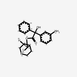 Nc1cccc(C(O)(C(=O)O[C@H]2CN3CCC2CC3)c2ccccc2)c1